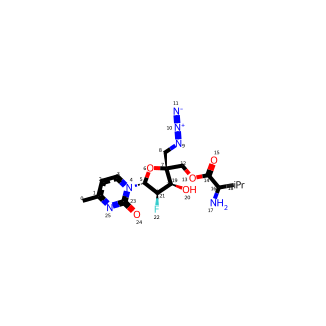 Cc1ccn([C@@H]2O[C@](CN=[N+]=[N-])(COC(=O)C(N)C(C)C)[C@@H](O)[C@H]2F)c(=O)n1